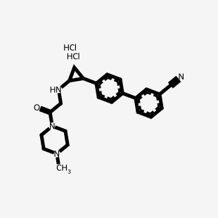 CN1CCN(C(=O)CNC2CC2c2ccc(-c3cccc(C#N)c3)cc2)CC1.Cl.Cl